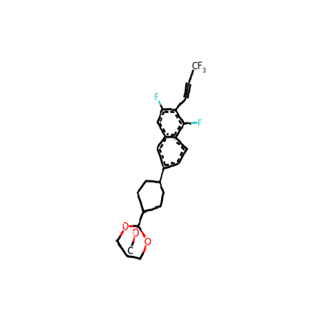 Fc1cc2cc(C3CCC(C45OCC(CO4)CO5)CC3)ccc2c(F)c1C#CC(F)(F)F